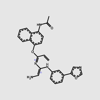 C=C/C(=N\C(=C/N)Nc1cccc(-c2cnco2)c1)Oc1ccc(NC(C)=O)c2ccccc12